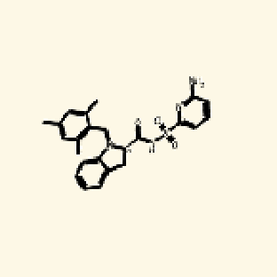 Cc1cc(C)c(CN2c3ccccc3C[C@@H]2C(=O)NS(=O)(=O)c2cccc(N)n2)c(C)c1